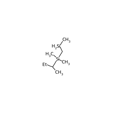 CCC(C)[Si](C)(C)C[SiH2]C